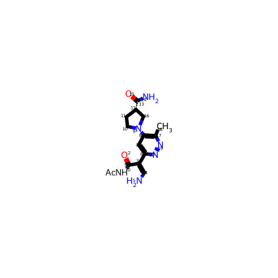 CC(=O)NC(=O)/C(=C\N)c1cc(N2CC[C@H](C(N)=O)C2)c(C)nn1